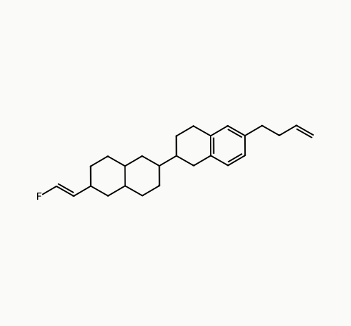 C=CCCc1ccc2c(c1)CCC(C1CCC3CC(C=CF)CCC3C1)C2